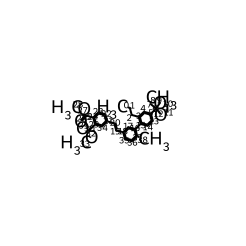 CCCc1cc(C2(CC)OCCO2)ccc1-c1cc(C=Cc2ccc(C(=O)OC)c(C(=O)OC)c2)ccc1C